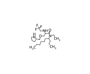 CCCCCCC(CCC)N(CC)C(=O)C(COC[C@H]1CCCN1)NCC(F)(F)F